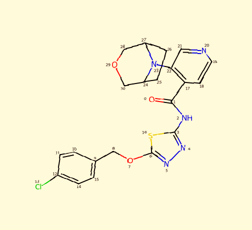 O=C(Nc1nnc(OCc2ccc(Cl)cc2)s1)c1ccncc1N1C2CCC1COC2